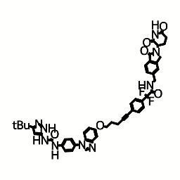 CC(C)(C)c1cc(NC(=O)Nc2ccc(-n3cnc4cc(OCCCC#Cc5ccc(C(F)(F)C(=O)NCc6ccc7c(c6)CN(C6CCC(=O)NC6=O)C7=O)cc5)ccc43)cc2)[nH]n1